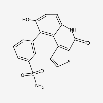 NS(=O)(=O)c1cccc(-c2c(O)ccc3[nH]c(=O)c4sccc4c23)c1